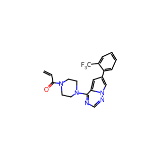 C=CC(=O)N1CCN(c2ncnn3cc(-c4ccccc4C(F)(F)F)cc23)CC1